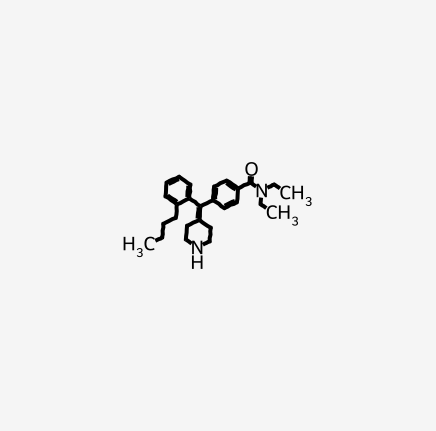 CCCCc1ccccc1C(=C1CCNCC1)c1ccc(C(=O)N(CC)CC)cc1